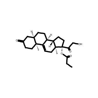 CCC(=O)O[C@@]1(C(=O)CO)CC[C@H]2[C@@H]3CC[C@@H]4CC(=O)CC[C@]4(C)C3=CC[C@@]21C